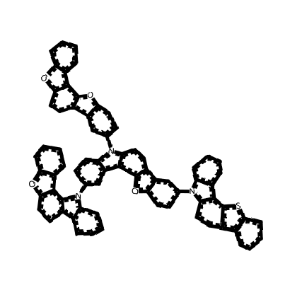 c1ccc2c(c1)oc1ccc3c4cc(-n5c6ccc(-n7c8ccccc8c8ccc9oc%10ccccc%10c9c87)cc6c6c7oc8ccc(-n9c%10ccccc%10c%10c%11sc%12ccccc%12c%11ccc%109)cc8c7ccc65)ccc4oc3c12